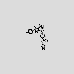 Cc1ccc(-n2nc3c(N4CCC(C(=O)NC5CN(C)C5)CC4)nnc(C)c3c2C)cc1